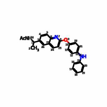 CC(=O)NC(C)c1ccc2nc(Oc3ccc(Nc4ccccc4)cc3)ccc2c1